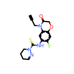 C#CCN1C(=O)COc2cc(F)c(NC(=S)N3CCCC=N3)cc21